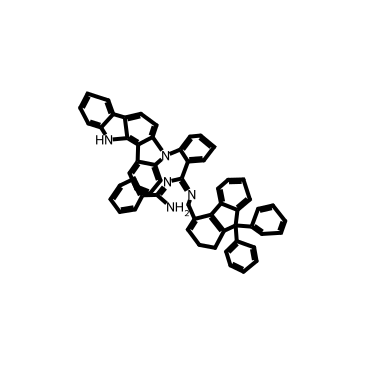 N/C(=N\C(=N/CC1=CCCC2=C1c1ccccc1C2(c1ccccc1)c1ccccc1)c1ccccc1-n1c2ccccc2c2c3[nH]c4ccccc4c3ccc21)c1ccccc1